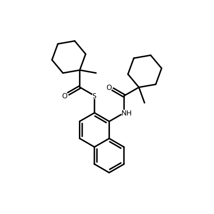 CC1(C(=O)Nc2c(SC(=O)C3(C)CCCCC3)ccc3ccccc23)CCCCC1